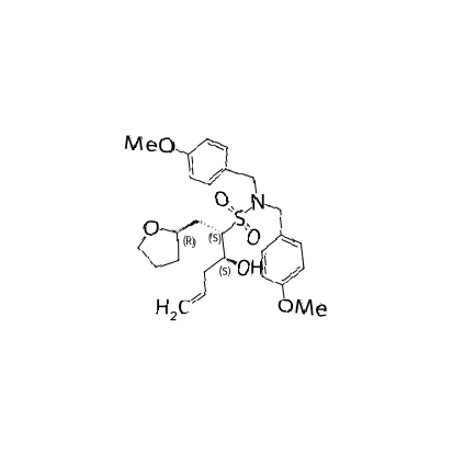 C=CC[C@H](O)[C@H](C[C@H]1CCCO1)S(=O)(=O)N(Cc1ccc(OC)cc1)Cc1ccc(OC)cc1